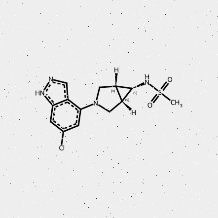 CS(=O)(=O)N[C@H]1[C@@H]2CN(c3cc(Cl)cc4[nH]ncc34)C[C@@H]21